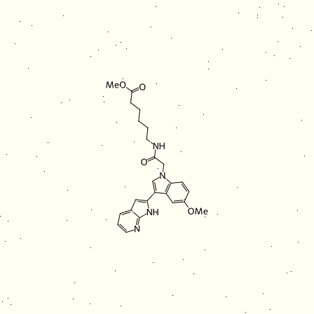 COC(=O)CCCCCNC(=O)Cn1cc(-c2cc3cccnc3[nH]2)c2cc(OC)ccc21